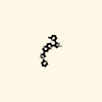 Cc1cccc(-c2n[nH]cc2-c2ccc3ncc(-c4cn(-c5ccccn5)nn4)cc3n2)n1